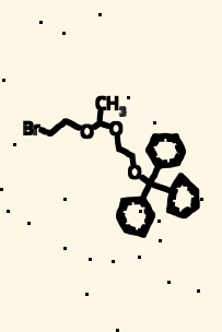 CC(OCCBr)OCCOC(c1ccccc1)(c1ccccc1)c1ccccc1